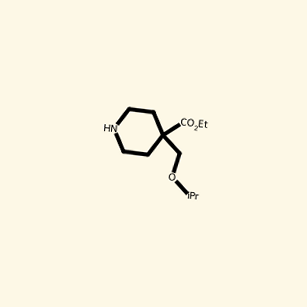 CCOC(=O)C1(COC(C)C)CCNCC1